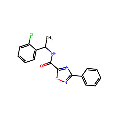 CC(NC(=O)c1nc(-c2ccccc2)no1)c1ccccc1Cl